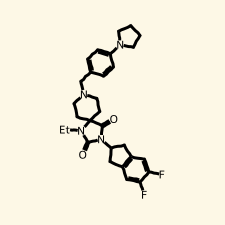 CCN1C(=O)N(C2Cc3cc(F)c(F)cc3C2)C(=O)C12CCN(Cc1ccc(N3CCCC3)cc1)CC2